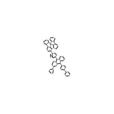 c1ccc(-c2ccc(-c3c4ccccc4c(-c4ccc(-c5ccc6c(c5)C5(c7ccccc7-c7ccccc75)c5ccccc5-6)nc4)c4ccc(-c5ccccc5)cc34)cc2)cc1